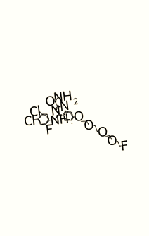 NC(=O)c1nc(Nc2cc(Cl)c(Cl)cc2F)c2c[c]c(OCCOCCOCCOCCF)cc2n1